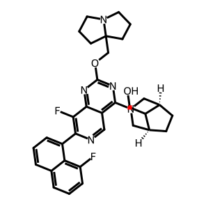 OCC1[C@@H]2CC[C@H]1CN(c1nc(OCC34CCCN3CCC4)nc3c(F)c(-c4cccc5cccc(F)c45)ncc13)C2